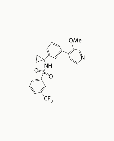 COc1cnccc1-c1cccc(C2(NS(=O)(=O)c3cccc(C(F)(F)F)c3)CC2)c1